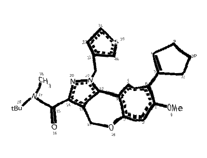 COc1cc2c(cc1C1=CCCC1)-c1c(c(C(=O)N(C)C(C)(C)C)nn1-c1ccsc1)CO2